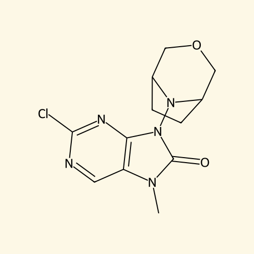 Cn1c(=O)n(N2C3CCC2COC3)c2nc(Cl)ncc21